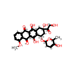 COc1cccc2c1C(=O)c1c(O)c3c(c(O)c1C2=O)C[C@@](O)(C(=O)CO)C[C@@H]3OC1CC=C(O)C(C)O1